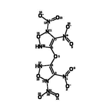 O=[N+]([O-])C1=C(OC2=C([N+](=O)[O-])N([N+](=O)[O-])ON2)NON1[N+](=O)[O-]